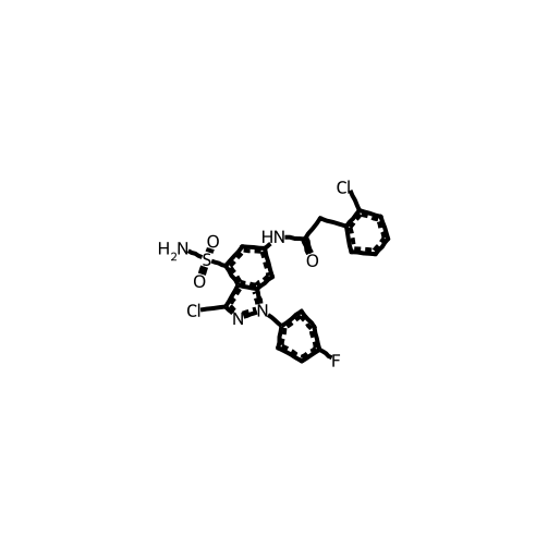 NS(=O)(=O)c1cc(NC(=O)Cc2ccccc2Cl)cc2c1c(Cl)nn2-c1ccc(F)cc1